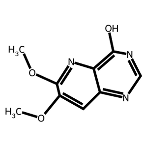 COc1cc2ncnc(O)c2nc1OC